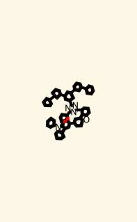 c1ccc(-c2cccc(-c3cc(-c4cccc(-c5ccccc5)c4)cc(-c4nc(-c5ccccc5)nc(-c5cccc6oc7ccc(-c8ccc9c(c8)c8ccccc8n9-c8ccccc8)cc7c56)n4)c3)c2)cc1